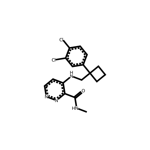 CNC(=O)c1nnccc1NCC1(c2ccc(Cl)c(Cl)c2)CCC1